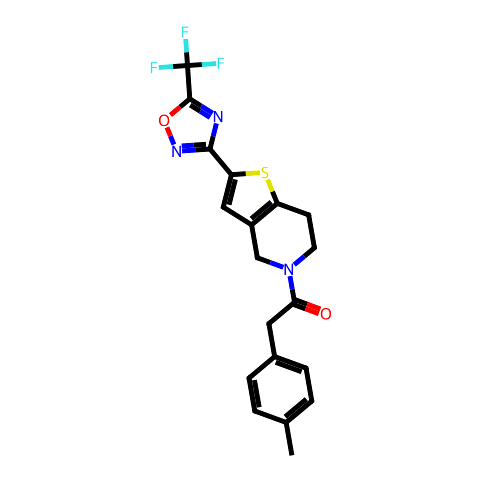 Cc1ccc(CC(=O)N2CCc3sc(-c4noc(C(F)(F)F)n4)cc3C2)cc1